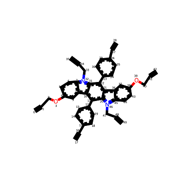 C#CCOc1ccc2c(c1)c1c(-c3ccc(C#C)cc3)c3c(c(-c4ccc(C#C)cc4)c1n2CC#C)c1cc(OCC#C)ccc1n3CC#C